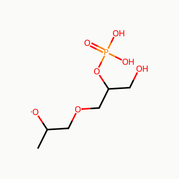 CC([O])COCC(CO)OP(=O)(O)O